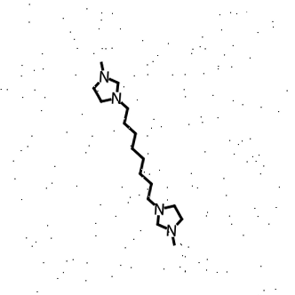 CN1CCN(CCCCCCCCN2CCN(C)C2)C1